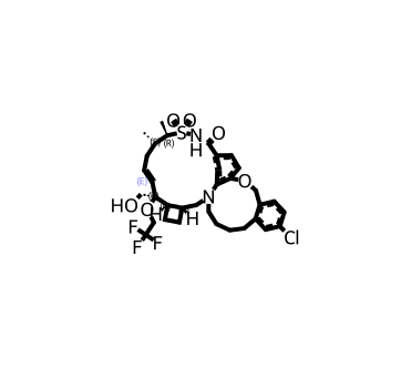 C[C@@H]1[C@@H](C)C/C=C/[C@](CO)(OCC(F)(F)F)[C@@H]2CC[C@H]2CN2CCCCc3cc(Cl)ccc3COc3ccc(cc32)C(=O)NS1(=O)=O